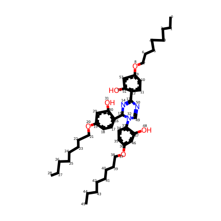 CCCCCCCCOc1ccc(C2=NC(c3ccc(OCCCCCCCC)cc3O)N(c3ccc(OCCCCCCCC)cc3O)C=N2)c(O)c1